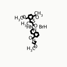 Br.COCc1ccc(C(C)=O)c2sc(C(=O)Nc3ccc4c(C(=O)N5CC(OC)C5)cccc4n3)c(C)c12